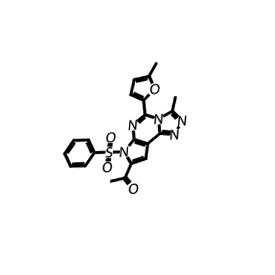 CC(=O)c1cc2c(nc(-c3ccc(C)o3)n3c(C)nnc23)n1S(=O)(=O)c1ccccc1